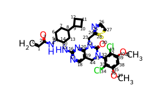 C=CC(=O)N[C@@H]1CCC(C2CCC2)C[C@@H]1Nc1ncc2c(n1)N(Cc1nccs1)C(=O)N(c1c(Cl)c(OC)cc(OC)c1Cl)C2